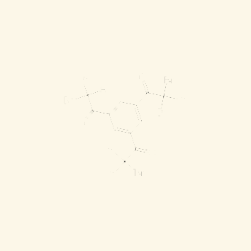 O=C(c1cc(C(=O)C(Br)(Br)Br)cc(C(=O)C(Br)(Br)Br)c1)C(Br)(Br)Br